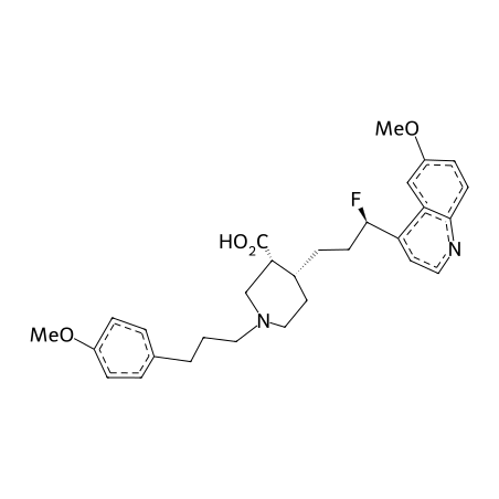 COc1ccc(CCCN2CC[C@@H](CC[C@@H](F)c3ccnc4ccc(OC)cc34)[C@@H](C(=O)O)C2)cc1